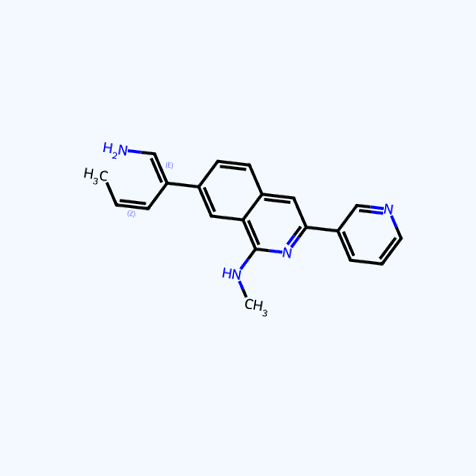 C/C=C\C(=C/N)c1ccc2cc(-c3cccnc3)nc(NC)c2c1